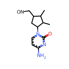 CC1C(CN=O)CC(n2ccc(N)nc2=O)C1C